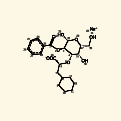 O=C(O[C@@H]1[C@@H](O[C@@H](CC2CCCCC2)C(=O)[O-])[C@@H](O)[C@@H](CO)O[C@H]1O)c1ccccc1.[Na+]